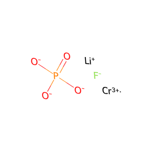 O=P([O-])([O-])[O-].[Cr+3].[F-].[Li+]